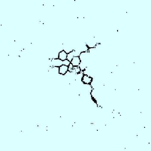 CC#CCOc1ccc(S(=O)(=O)N2C[C@H](CNC(=O)OC(C)(C)C)SC(C3CC(C)CCC3C(C)C)(C3CC(C)CCC3C(C)C)[C@@H]2C(=O)O)cc1